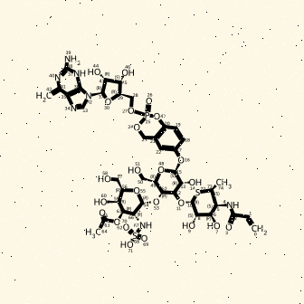 C=CC(=O)N[C@H]1[C@@H](O)[C@H](O)[C@H](OC2[C@@H](O)[C@H](Oc3ccc4c(c3)COP(=O)(OC[C@H]3O[C@@H](n5cnc6c5NC(N)=NC6=C)[C@H](O)[C@@H]3O)O4)O[C@H](CO)[C@H]2O[C@H]2O[C@H](CO)[C@H](O)[C@H](OC(C)=O)[C@H]2NS(=O)(=O)O)S[C@H]1C